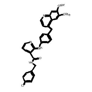 COc1cc2nccc(Cc3ccc(Nc4ncccc4C(=O)NCc4ccc(Cl)cc4)cc3)c2cc1OC